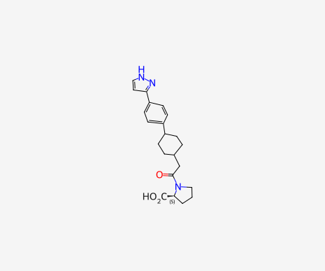 O=C(O)[C@@H]1CCCN1C(=O)CC1CCC(c2ccc(-c3cc[nH]n3)cc2)CC1